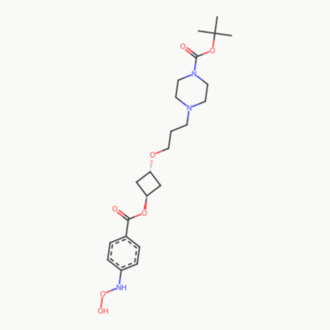 CC(C)(C)OC(=O)N1CCN(CCCO[C@H]2C[C@H](OC(=O)c3ccc(NOO)cc3)C2)CC1